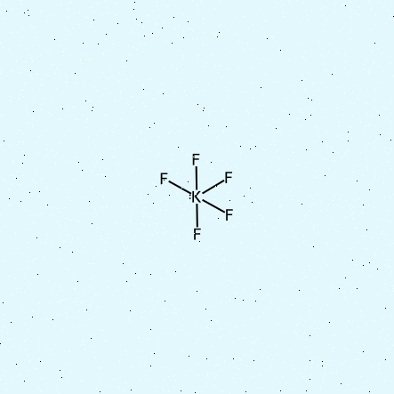 [F][K]([F])([F])([F])[F]